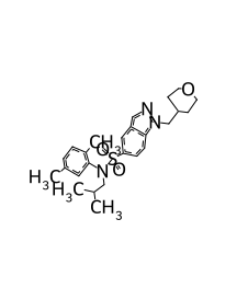 Cc1ccc(C)c(N(CC(C)C)S(=O)(=O)c2ccc3c(cnn3CC3CCOCC3)c2)c1